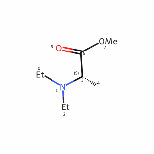 CCN(CC)[C@@H](C)C(=O)OC